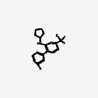 Cc1cccc(-c2cnc(C(F)(F)F)nc2NC2CCCC2)c1